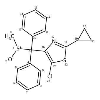 C[S+]([O-])C(c1ccccc1)(c1ccccc1)c1nc(C2CC2)sc1Cl